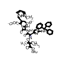 Cn1ccc[n+]1CC1=C(C(=O)[O-])N2C(=O)[C@@H](NC(=O)/C(=N\OC(C)(C)C(=O)OC(C)(C)C)c3csc(NC(c4ccccc4)(c4ccccc4)c4ccccc4)n3)[C@H]2[S@@+]([O-])C1